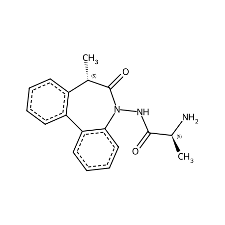 C[C@H](N)C(=O)NN1C(=O)[C@@H](C)c2ccccc2-c2ccccc21